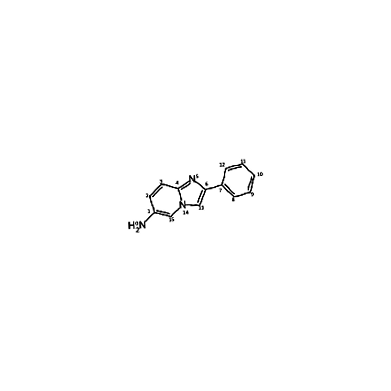 Nc1ccc2nc(-c3ccccc3)cn2c1